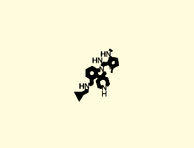 CNC1=C(C(=N)N2CC3(CCNCC3)c3c(CNCC4CC4)cccc32)[C@H](C)CC1